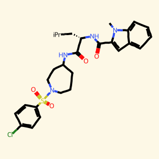 CC(C)C[C@H](NC(=O)c1cc2ccccc2n1C)C(=O)NC1CCCN(S(=O)(=O)c2ccc(Cl)cc2)CC1